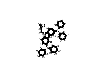 c1ccc(N(c2ccccc2)c2ccc3c(c2)c2cc(N(c4ccccc4)c4ccccc4)ccc2n3CC2CO2)cc1